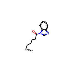 CCCCCCCCCCCCCC(=O)n1cnc2ccccc21